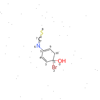 OC1(Br)C=CC(N=C=S)=CC1